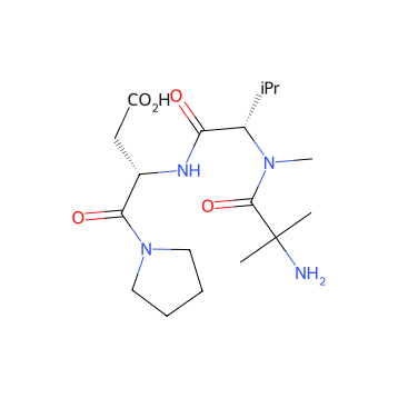 CC(C)[C@@H](C(=O)N[C@@H](CC(=O)O)C(=O)N1CCCC1)N(C)C(=O)C(C)(C)N